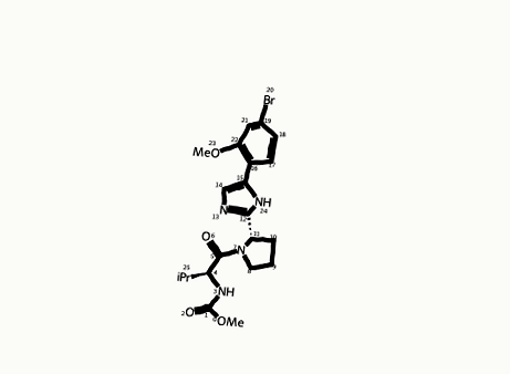 COC(=O)N[C@H](C(=O)N1CCC[C@H]1c1ncc(-c2ccc(Br)cc2OC)[nH]1)C(C)C